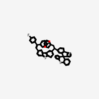 Fc1ccc(C(=Cc2ccc3sc4ccc(C(Cc5ccccc5)c5ccc6c(c5)C5(c7ccccc7Sc7ccccc75)c5ccccc5-6)cc4c3c2)c2ccc(F)cc2)cc1